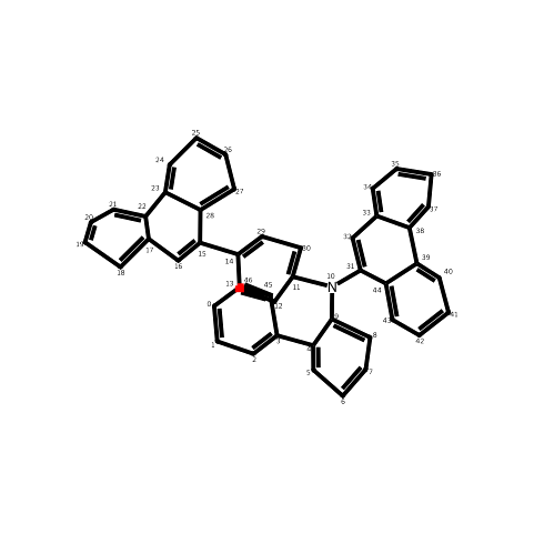 c1ccc(-c2ccccc2N(c2ccc(-c3cc4ccccc4c4ccccc34)cc2)c2cc3ccccc3c3ccccc23)cc1